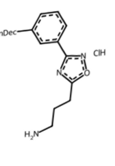 CCCCCCCCCCc1cccc(-c2noc(CCCN)n2)c1.Cl